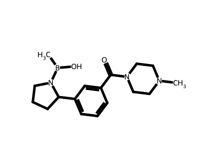 CB(O)N1CCCC1c1cccc(C(=O)N2CCN(C)CC2)c1